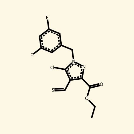 CCOC(=O)c1nn(Cc2cc(F)cc(F)c2)c(Cl)c1C=S